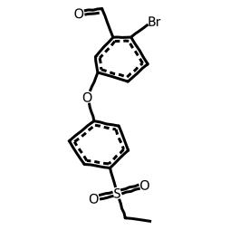 CCS(=O)(=O)c1ccc(Oc2ccc(Br)c(C=O)c2)cc1